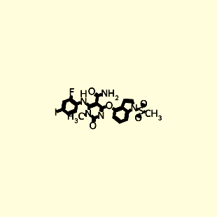 Cn1c(Nc2ccc(I)cc2F)c(C(N)=O)c(Oc2cccc3c2ccn3S(C)(=O)=O)nc1=O